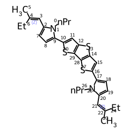 CCCn1c(/C=C(/C)CC)ccc1-c1cc2sc3cc(-c4ccc(/C=C(/C)CC)n4CCC)sc3c2s1